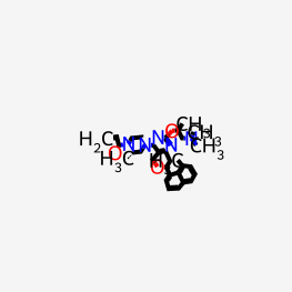 C=CC(=O)N1CCN(c2nc(OC(C)CN(C)C)nc3c2COC(c2cccc4cccc(C)c24)C3)C[C@@H]1C